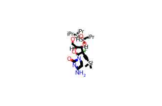 CC(C)[SiH]1O[C@@H]2[C@@H](CO[Si](C(C)C)(C(C)C)O1)O[C@@H](n1ccc(N)nc1=O)[C@@]2(F)C#C[Si](C)(C)C